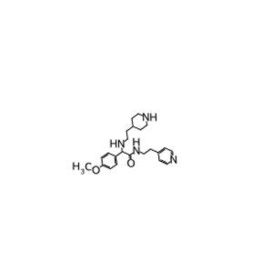 COc1ccc(C(NCCC2CCNCC2)C(=O)NCCc2ccncc2)cc1